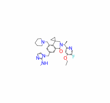 CCOc1cc([C@H](C)N2CC3(CC3)c3c(CN4CCCCC4)cc(Cn4ccnc4NC)cc3C2=O)ncc1F